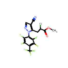 COC(=O)C(Cl)Cc1c(C#N)cnn1-c1c(F)c(F)c(C(F)(F)F)c(F)c1F